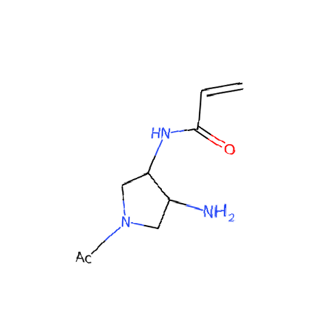 C=CC(=O)NC1CN(C(C)=O)CC1N